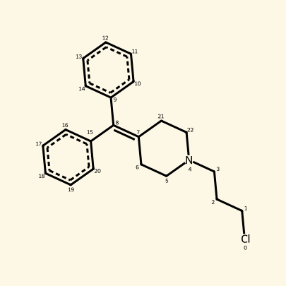 ClCCCN1CCC(=C(c2ccccc2)c2ccccc2)CC1